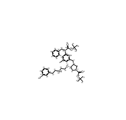 Cc1cc(C[C@H]2CN(C(=O)OC(C)(C)C)C[C@@H]2OCCNCCc2cccc(F)c2)nc(N(Cc2ccccc2)C(=O)OC(C)(C)C)c1